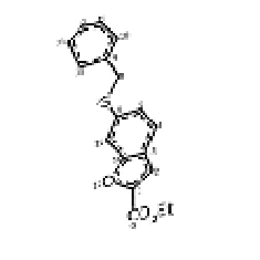 CCOC(=O)c1cc2ccc(SCc3ccccc3)cc2o1